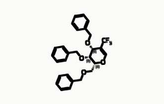 FC(F)(F)C1=CO[C@H](COCc2ccccc2)[C@H](OCc2ccccc2)[C@@H]1OCc1ccccc1